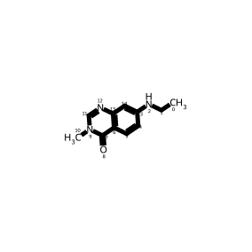 CCNc1ccc2c(=O)n(C)cnc2c1